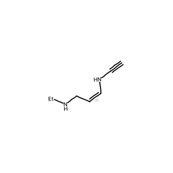 C#CN/C=C\CNCC